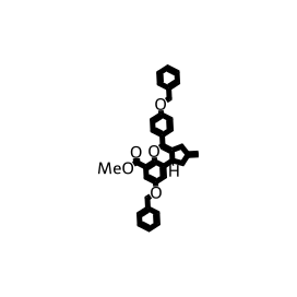 C=C1CC2=C(c3ccc(OCc4ccccc4)cc3)Oc3c(C(=O)OC)cc(OCc4ccccc4)cc3[C@@H]2C1